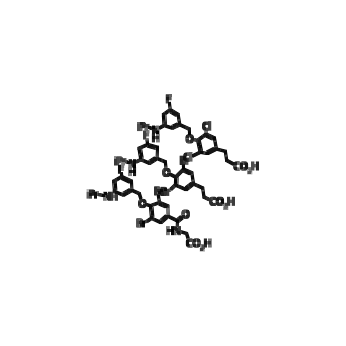 CC(C)Nc1cc(F)cc(COc2c(Br)cc(C(=O)NCC(=O)O)cc2Br)c1.CC(C)Nc1cc(F)cc(COc2c(Br)cc(CCC(=O)O)cc2Br)c1.CC(C)Nc1cc(F)cc(COc2c(Cl)cc(CCC(=O)O)cc2Cl)c1